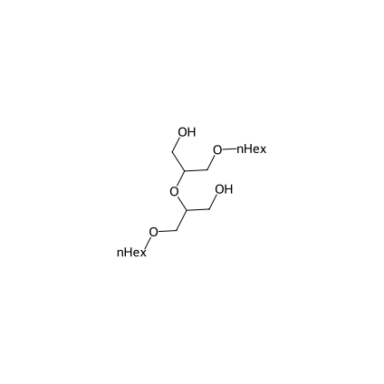 CCCCCCOCC(CO)OC(CO)COCCCCCC